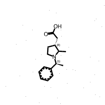 CC1[C@@H](CC(=O)O)CCN1[C@@H](C)c1ccccc1